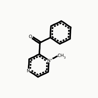 C[n+]1ccncc1C(=O)c1ccccc1